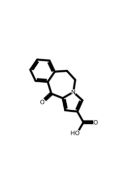 O=C(O)c1cc2n(c1)CCc1ccccc1C2=O